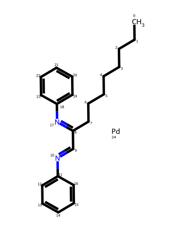 CCCCCCCCC(C=Nc1ccccc1)=Nc1ccccc1.[Pd]